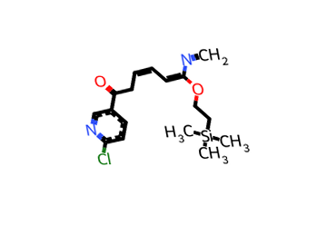 C=N/C(=C\C=C/CC(=O)c1ccc(Cl)nc1)OCC[Si](C)(C)C